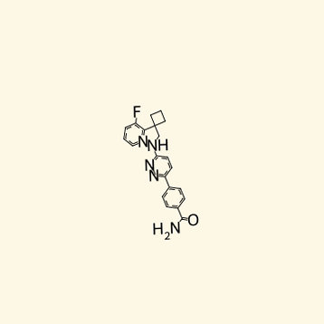 NC(=O)c1ccc(-c2ccc(NCC3(c4ncccc4F)CCC3)nn2)cc1